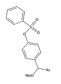 COC(C(C)=O)c1ccc(OS(=O)(=O)c2ccccc2)cc1